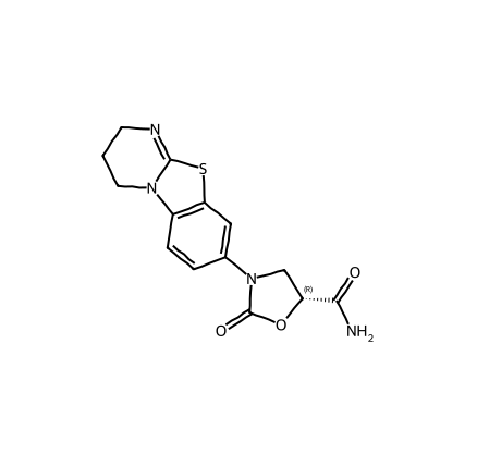 NC(=O)[C@H]1CN(c2ccc3c(c2)SC2=NCCCN23)C(=O)O1